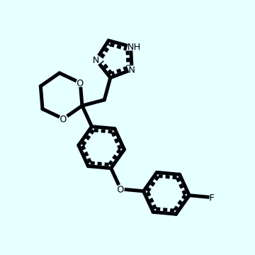 Fc1ccc(Oc2ccc(C3(Cc4nc[nH]n4)OCCCO3)cc2)cc1